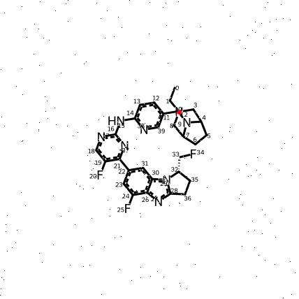 CCN1CC2CCC(C1)N2Cc1ccc(Nc2ncc(F)c(-c3cc(F)c4nc5n(c4c3)[C@H](CF)CC5)n2)nc1